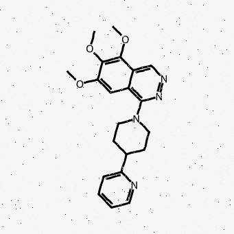 COc1cc2c(N3CCC(c4ccccn4)CC3)nncc2c(OC)c1OC